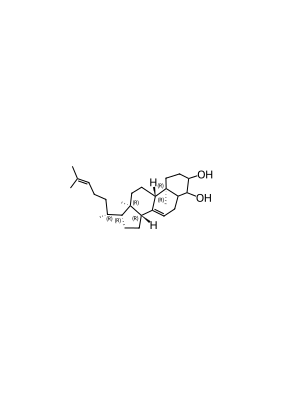 CC(C)=CCC[C@@H](C)[C@H]1CC[C@H]2C3=CCC4C(O)C(O)CC[C@]4(C)[C@H]3CC[C@]12C